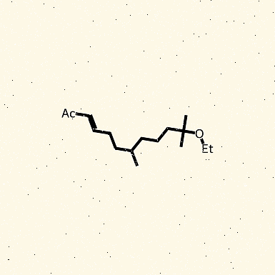 CCOC(C)(C)CCCC(C)CC/C=C/C(C)=O